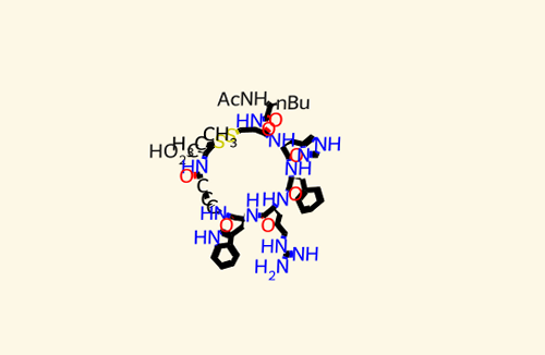 CCCC[C@H](NC(C)=O)C(=O)N[C@H]1CSSC(C)(C)[C@@H](C(=O)O)NC(=O)CCCNC(=O)[C@H](Cc2c[nH]c3ccccc23)NC(=O)[C@H](CCCNC(=N)N)NC(=O)[C@@H](Cc2ccccc2)NC(=O)[C@H](Cc2c[nH]cn2)NC1=O